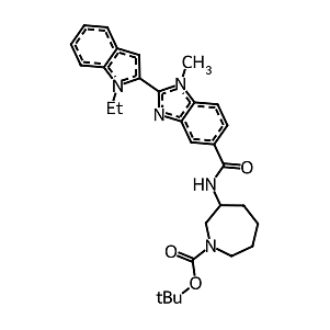 CCn1c(-c2nc3cc(C(=O)NC4CCCCN(C(=O)OC(C)(C)C)C4)ccc3n2C)cc2ccccc21